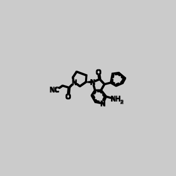 N#CCC(=O)N1CCC[C@@H](N2C(=O)C(c3ccccc3)c3c2ccnc3N)C1